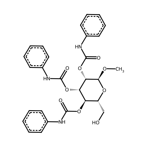 CO[C@H]1O[C@H](CO)[C@@H](OC(=O)Nc2ccccc2)[C@H](OC(=O)Nc2ccccc2)[C@@H]1OC(=O)Nc1ccccc1